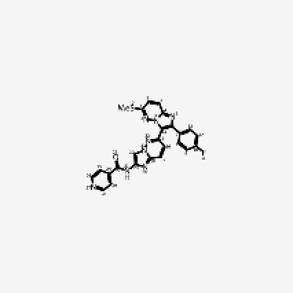 CSc1ccc2nc(-c3ccc(F)cc3)c(-c3ccc4nc(NC(=O)c5ccncc5)cn4n3)n2n1